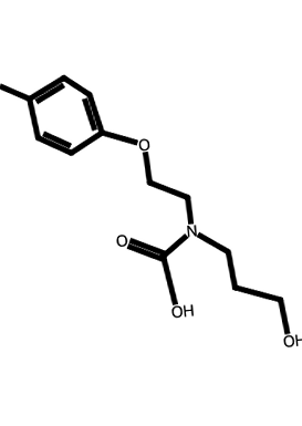 O=C(O)N(CCCO)CCOc1ccc(I)cc1